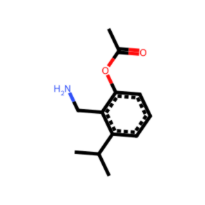 CC(=O)Oc1cccc(C(C)C)c1CN